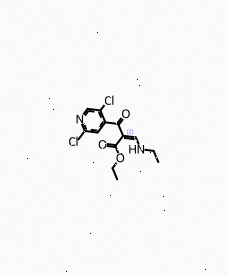 CCN/C=C(\C(=O)OCC)C(=O)c1cc(Cl)ncc1Cl